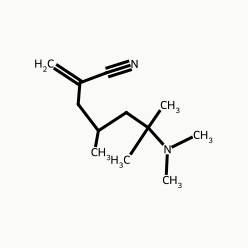 C=C(C#N)CC(C)CC(C)(C)N(C)C